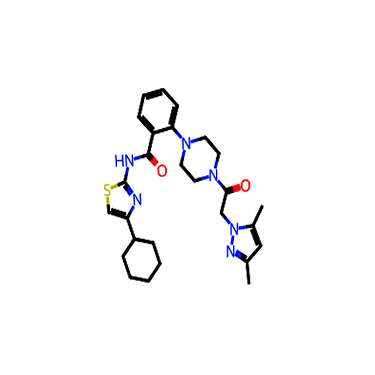 Cc1cc(C)n(CC(=O)N2CCN(c3ccccc3C(=O)Nc3nc(C4CCCCC4)cs3)CC2)n1